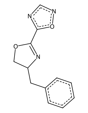 c1ccc(CC2COC(c3ncno3)=N2)cc1